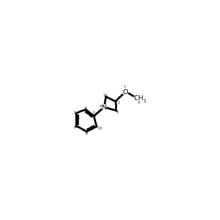 COC1CN(c2cc[c]cc2)C1